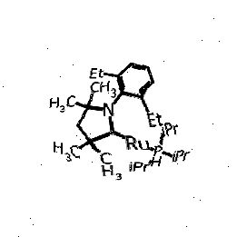 CCc1cccc(CC)c1N1[CH]([Ru][PH](C(C)C)(C(C)C)C(C)C)C(C)(C)CC1(C)C